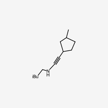 CCC(C)CNC#CC1CCC(C)C1